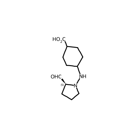 O=C[C@@H]1CCCN1NC1CCC(C(=O)O)CC1